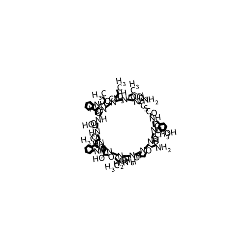 CCCC[C@H]1C(=O)N(C)[C@@H](CCCC)C(=O)N[C@@H](CC(C)C)C(=O)N[C@H](C(N)=O)CSCC(=O)N[C@@H](Cc2ccc(O)cc2)C(=O)N(C)[C@@H](C)C(=O)N[C@@H](CC(N)=O)C(=O)N2CCC[C@H]2C(=O)N[C@@H](CN)C(=O)N[C@@H](CC(C)C)C(=O)N2C[C@H](O)C[C@H]2C(=O)N[C@@H]([C@@H](C)c2c[nH]c3ccccc23)C(=O)N[C@@H](CO)C(=O)N[C@@H](Cc2c[nH]c3ccccc23)C(=O)N1C